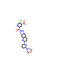 CC(=O)c1cc(C(=O)NCc2cc3nc(-c4cccc(N5C[C@@H](C)O[C@@H](C)C5)n4)ccc3cn2)ncc1Cl